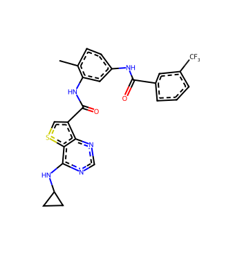 Cc1ccc(NC(=O)c2cccc(C(F)(F)F)c2)cc1NC(=O)c1csc2c(NC3CC3)ncnc12